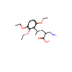 CCOc1ccc(OCC)c(C(C)CC(CN)C(=O)O)c1OCC